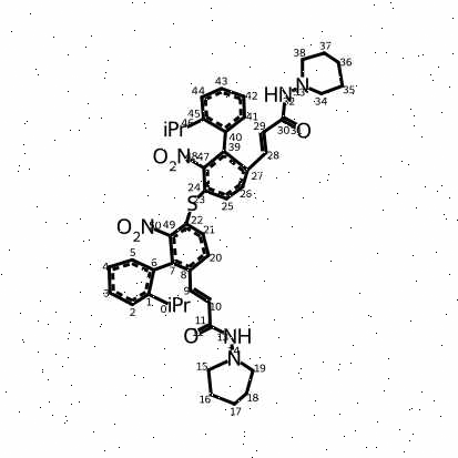 CC(C)c1ccccc1-c1c(/C=C/C(=O)NN2CCCCC2)ccc(Sc2ccc(/C=C/C(=O)NN3CCCCC3)c(-c3ccccc3C(C)C)c2[N+](=O)[O-])c1[N+](=O)[O-]